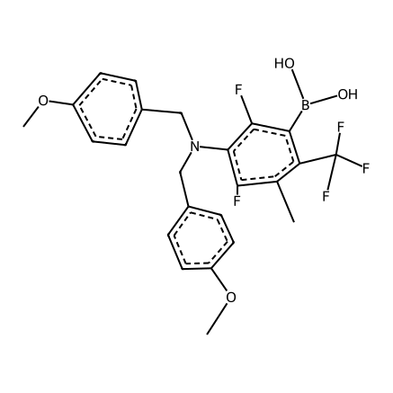 COc1ccc(CN(Cc2ccc(OC)cc2)c2c(F)c(C)c(C(F)(F)F)c(B(O)O)c2F)cc1